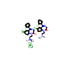 CCN(CC)CCN1C(=O)CN=C(c2ccccc2F)c2cc(Cl)ccc21.CCN(CC)CCN1C(=O)CN=C(c2ccccc2F)c2cc(Cl)ccc21.Cl.Cl.Cl.Cl